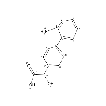 Nc1ccccc1-c1ccc(C(O)C(=O)O)cc1